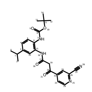 CC(C)c1ccc(NC(=O)OC(C)(C)C)c(NC(=O)CC(=O)c2ccnc(C#N)c2)c1